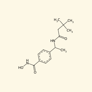 CC(NC(=O)CC(C)(C)C)c1ccc(C(=O)NO)cc1